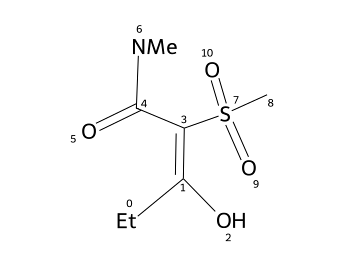 CC/C(O)=C(\C(=O)NC)S(C)(=O)=O